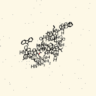 C=CC[C@H](NC(=O)[C@H](COC)NC(=O)CNC(=O)[C@H](CCC(=O)O)NC(=O)[C@H](NC(=O)[C@@H](CO)NC(=O)[C@@H](CCCNC(=N)N)NC(=O)[C@@H](CC=C)NC(=O)[C@@H](CCC(N)=O)NC(=O)[C@H](NC(=O)[C@H](NC(=O)[C@@H](CCCNC(=N)N)NC(=O)[C@@H](CC(C)C)NC(=O)OCC1c2ccccc2-c2ccccc21)C(C)CC)C(C)C)C(C)C)C(=O)NCC(=O)N[C@@H](Cc1ccccc1)C(=O)O